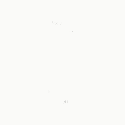 COC(=O)CCCC#Cc1cccc(C(O)O)c1